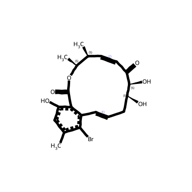 Cc1cc(O)c2c(c1Br)/C=C/C[C@H](O)[C@H](O)C(=O)/C=C\[C@H](C)[C@H](C)OC2=O